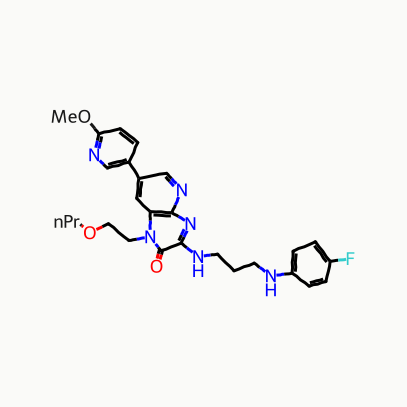 CCCOCCn1c(=O)c(NCCCNc2ccc(F)cc2)nc2ncc(-c3ccc(OC)nc3)cc21